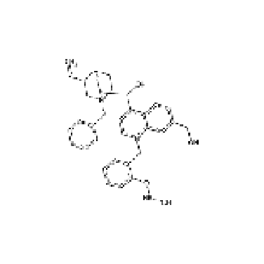 C=CC1C[N+]2(Cc3ccccc3)CCC1CC2C(O)c1cc[n+](Cc2ccccc2OBO)c2cc(CO)ccc12